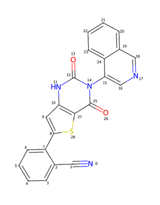 N#Cc1ccccc1-c1cc2[nH]c(=O)n(-c3cncc4ccccc34)c(=O)c2s1